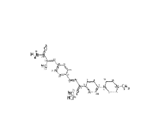 CN1CCN(c2ccc(C(=O)/C=C/c3ccc(/C=C(\O)C(N)=O)nc3)cc2)CC1.Cl.Cl